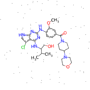 COc1cc(C(=O)N2CCC(N3CCOCC3)CC2)ccc1Nc1nc(NC(CO)C(C)C)c2c(Cl)c[nH]c2n1